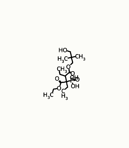 CCOC(=O)C(CC)(C(CC)C(=O)OCC(C)(C)CO)P(=O)(O)O